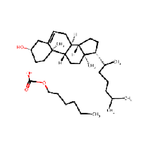 CC(C)CCCC(C)[C@H]1CC[C@H]2[C@@H]3CC=C4C[C@@H](O)CC[C@]4(C)[C@H]3CC[C@]12C.CCCCCCOC(=O)O